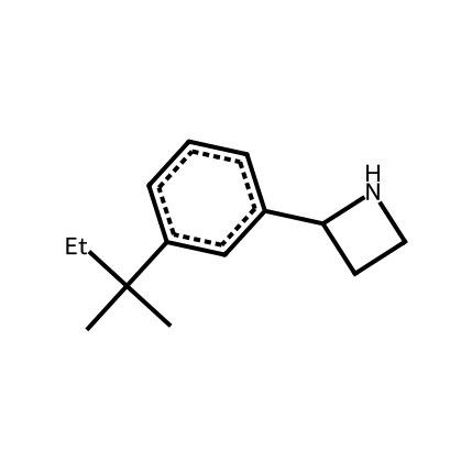 CCC(C)(C)c1cccc(C2CCN2)c1